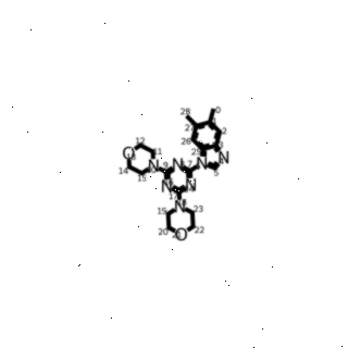 Cc1cc2ncn(-c3nc(N4CCOCC4)nc(N4CCOCC4)n3)c2cc1C